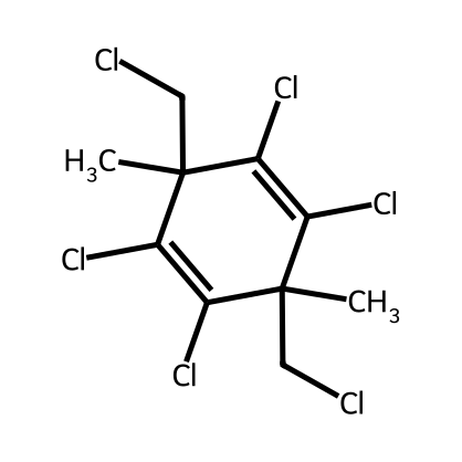 CC1(CCl)C(Cl)=C(Cl)C(C)(CCl)C(Cl)=C1Cl